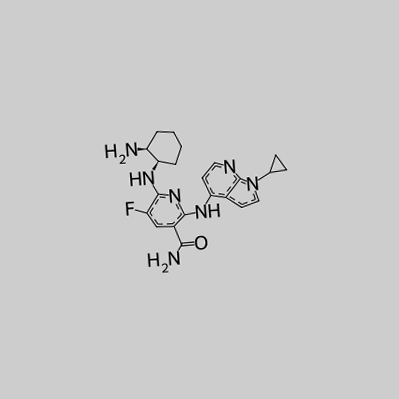 NC(=O)c1cc(F)c(N[C@@H]2CCCC[C@@H]2N)nc1Nc1ccnc2c1ccn2C1CC1